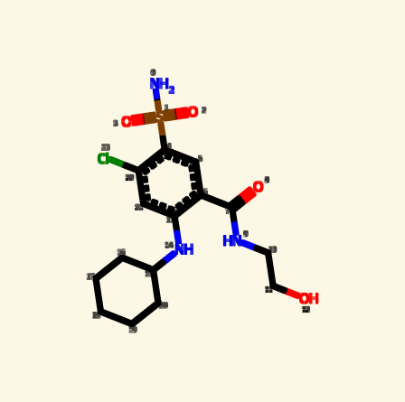 NS(=O)(=O)c1cc(C(=O)NCCO)c(NC2CCCCC2)cc1Cl